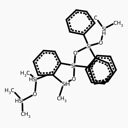 C[SiH](C)O[SiH](C)O[SiH](C)O[Si](O[Si](O[SiH](C)C)(c1ccccc1)c1ccccc1)(c1ccccc1)c1ccccc1